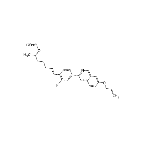 C=CCOc1ccc2cc(-c3ccc(C=CCCCC(C)OCCCCC)c(F)c3)ncc2c1